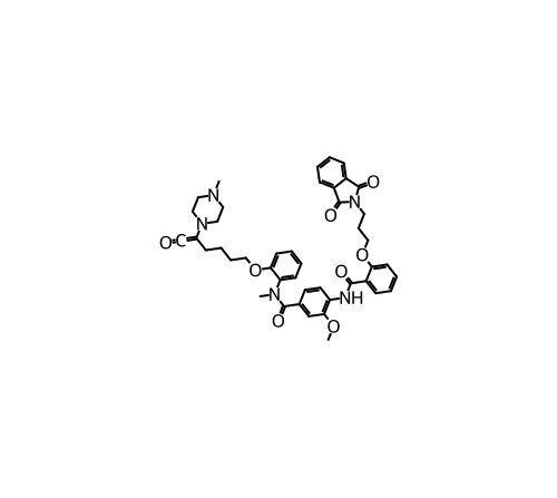 COc1cc(C(=O)N(C)c2ccccc2OCCCCC(=C=O)N2CCN(C)CC2)ccc1NC(=O)c1ccccc1OCCCN1C(=O)c2ccccc2C1=O